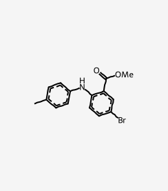 COC(=O)c1cc(Br)ccc1Nc1ccc(C)cc1